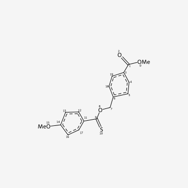 COC(=O)c1ccc(COC(=S)c2ccc(OC)cc2)cc1